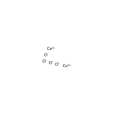 [Ca+2].[Cl-].[Cl-].[Cl-].[Cl-].[Cu+2]